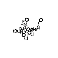 COc1c(OCCCN(C)CCCc2ccccc2)cccc1[C@H]1O[C@H](CC(=O)NCc2ccccc2F)C(=O)N(CC(C)(C)C)c2ccc(Cl)cc21.Cl